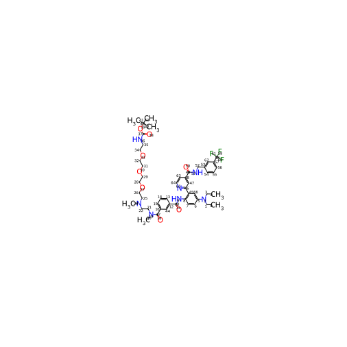 CCN(CC)c1ccc(NC(=O)c2cccc(C(=O)N(C)CCN(C)CCOCCOCCOCCNC(=O)OC(C)(C)C)c2)c(-c2cc(C(=O)NCc3cccc(C(F)(F)F)c3)ccn2)c1